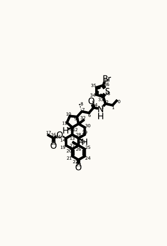 CCC(NC(=O)C[C@@H](C)C1CC[C@H]2C3[C@H](OC(C)=O)CC4=CC(=O)C=CC4(C)[C@H]3CCC12C)c1ccc(Br)s1